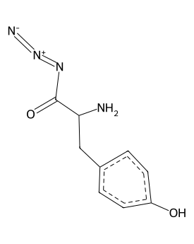 [N-]=[N+]=NC(=O)C(N)Cc1ccc(O)cc1